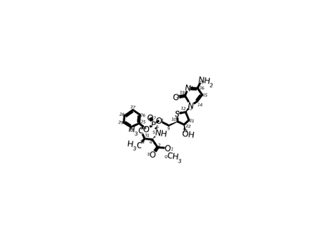 COC(=O)[C@@H](NP(=O)(OC[C@H]1S[C@@H](n2ccc(N)nc2=O)C[C@H]1O)Oc1ccccc1)C(C)C